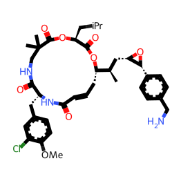 COc1ccc(C[C@H]2NC(=O)/C=C/C[C@@H]([C@H](C)C[C@@H]3O[C@@H]3c3ccc(CN)cc3)OC(=O)[C@H](CC(C)C)OC(=O)C(C)(C)CNC2=O)cc1Cl